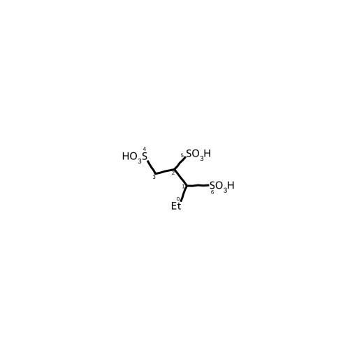 CCC(C(CS(=O)(=O)O)S(=O)(=O)O)S(=O)(=O)O